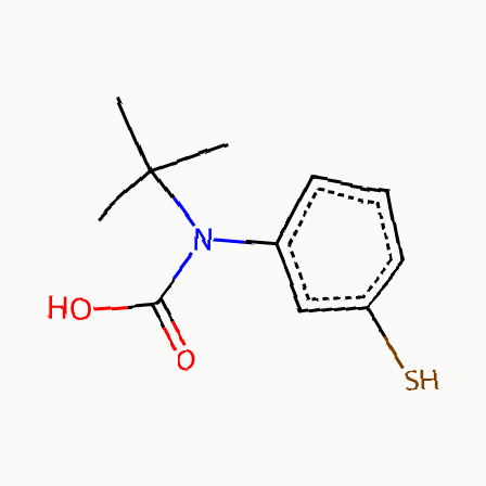 CC(C)(C)N(C(=O)O)c1cccc(S)c1